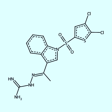 CC(=NNC(=N)N)c1cn(S(=O)(=O)c2cc(Cl)c(Cl)s2)c2ccccc12